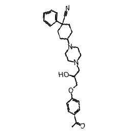 CC(=O)c1ccc(OCC(O)CN2CCN(C3CCC(C#N)(c4ccccc4)CC3)CC2)cc1